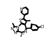 Cc1c(-c2cccnc2)sc2c1C(c1ccc(Cl)cc1)=N[C@@H](C)c1nnc(C)n1-2